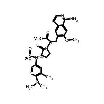 COC(=O)[C@@H](Cc1cc2ccnc(N)c2cc1OC(F)(F)F)N1CC[C@H](N(c2cnc(N(C)C)c(C)c2)[SH](=O)=O)C1=O